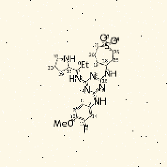 CCC(Nc1nc(Nc2ccc(OC)c(F)c2)nc(NC2CCCS(=O)(=O)CC2)n1)C1CCCN1